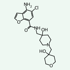 Nc1c(Cl)cc(C(=O)NCC2(O)CCN(CC3(O)CCOCC3)CC2)c2occc12